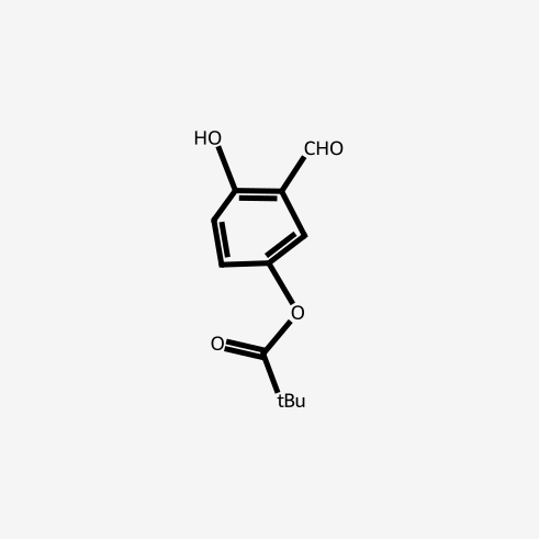 CC(C)(C)C(=O)Oc1ccc(O)c(C=O)c1